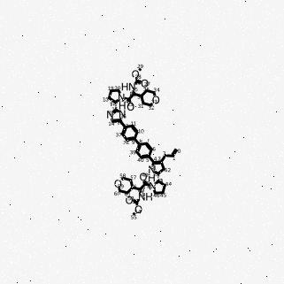 C=CCC1=C(c2ccc(-c3ccc(-c4cnc([C@@H]5CCCN5C(=O)[C@@H](NC(=O)OC)C5CCOCC5)[nH]4)cc3)cc2)NC([C@@H]2CCCN2C(=O)[C@@H](NC(=O)OC)C2CCOCC2)C1